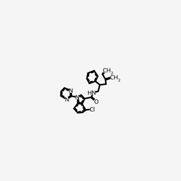 C=CC(=C)CC(CNC(=O)c1cn(-c2ncccn2)c2cccc(Cl)c12)c1ccccc1